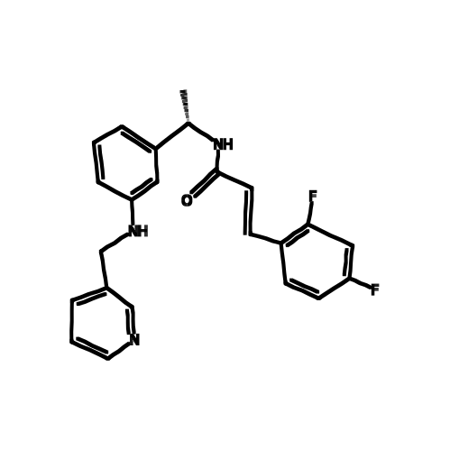 C[C@H](NC(=O)C=Cc1ccc(F)cc1F)c1cccc(NCc2cccnc2)c1